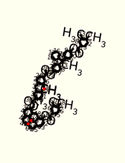 Cc1ccc(C(=O)Oc2ccc(C(C)(c3ccccc3)c3ccc(OC(=O)c4ccc(Cc5cc(C(=O)Oc6ccc7ccccc7c6Cc6c(OC(=O)c7ccc(C)c(C)c7)ccc7ccccc67)ccc5C)c(C)c4)cc3)cc2)cc1C